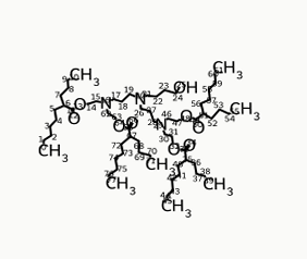 CCCCCCC(CCCC)C(=O)OCCN(CCCN(CCCCO)CCCN(CCOC(=O)C(CCCC)CCCCCC)CCOC(=O)C(CCCC)CCCCCC)CCOC(=O)C(CCCC)CCCCCC